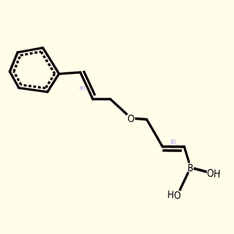 OB(O)/C=C/COC/C=C/c1ccccc1